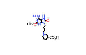 CCCCOc1nc(N)c2[nH]c(=O)n(CCCCN3CCCC(C(=O)O)C3)c2n1